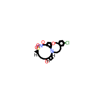 C[C@@]12C[C@H]1CCCC(=O)[C@@H]1CC[C@H]1CN1CCCCc3cc(Cl)ccc3COc3ccc(cc31)C(=O)NS2(=O)=O